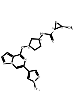 C[C@@H]1O[C@H]1C(=O)N[C@H]1CC[C@@H](Oc2nc(-c3cnn(C)c3)cn3nccc23)C1